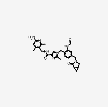 Cc1cc(N)nc(C)c1CNC(=O)c1cn(Cc2ccc(CN3CC4CC4C3=O)cc2NC=O)c(C)n1